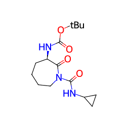 CC(C)(C)OC(=O)N[C@@H]1CCCCN(C(=O)NC2CC2)C1=O